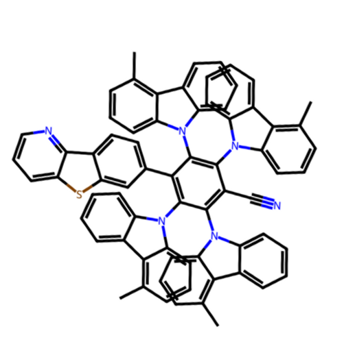 Cc1cccc2c1c1ccccc1n2-c1c(C#N)c(-n2c3ccccc3c3c(C)cccc32)c(-n2c3ccccc3c3c(C)cccc32)c(-c2ccc3c(c2)sc2cccnc23)c1-n1c2ccccc2c2c(C)cccc21